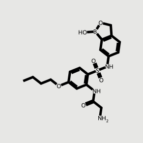 CCCCOc1ccc(S(=O)(=O)Nc2ccc3c(c2)B(O)OC3)c(NC(=O)CN)c1